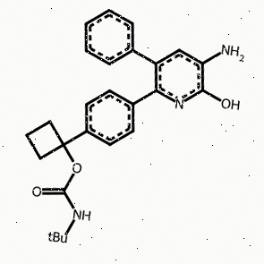 CC(C)(C)NC(=O)OC1(c2ccc(-c3nc(O)c(N)cc3-c3ccccc3)cc2)CCC1